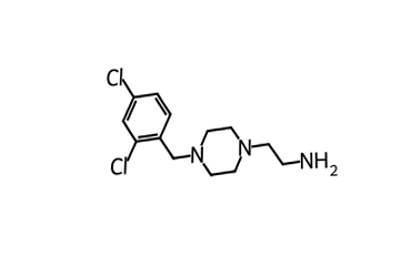 NCCN1CCN(Cc2ccc(Cl)cc2Cl)CC1